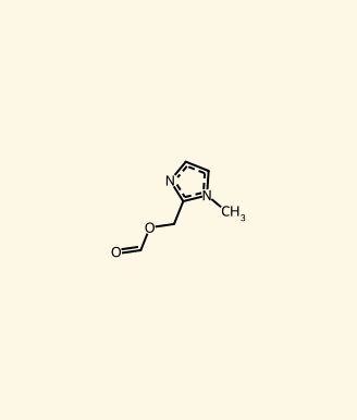 Cn1ccnc1COC=O